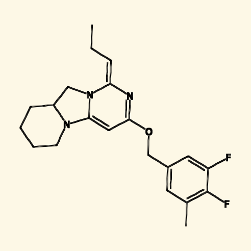 CC/C=C1/N=C(OCc2cc(C)c(F)c(F)c2)C=C2N1CC1CCCCN21